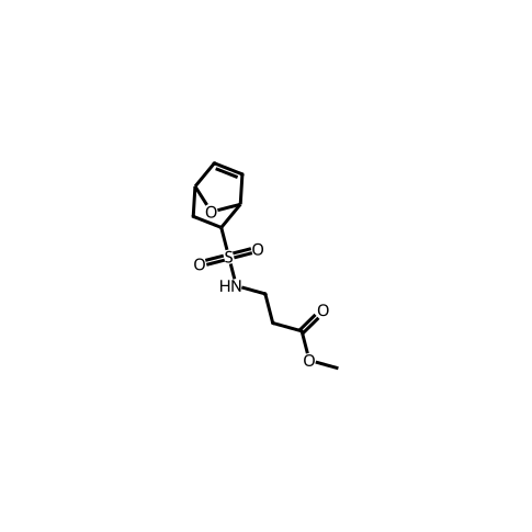 COC(=O)CCNS(=O)(=O)C1CC2C=CC1O2